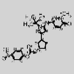 Cn1nc(Nc2cc([C@H]3CC[C@@H](OC(=O)Oc4ccc([N+](=O)[O-])cc4)C3)nn2C(C)(C)C)ccc1=O